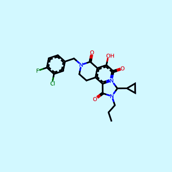 CCCN1C(=O)c2c3c(c(O)c(=O)n2C1C1CC1)C(=O)N(Cc1ccc(F)c(Cl)c1)CC3